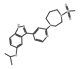 CC(C)Oc1ccc2[nH]nc(-c3ccnc(N4CCCN(S(C)(=O)=O)CC4)c3)c2c1